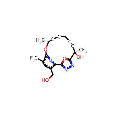 C[C@@H]1CCCCC[C@](O)(C(F)(F)F)c2nnc(o2)-c2nc(c(C(F)(F)F)cc2CO)O1